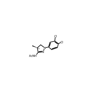 CC(=O)NC1=NN(c2ccc(Cl)c(Cl)c2)C[C@@H]1C